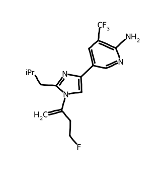 C=C(CCF)n1cc(-c2cnc(N)c(C(F)(F)F)c2)nc1CC(C)C